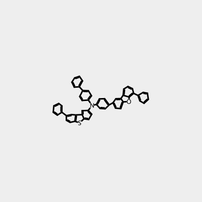 c1ccc(-c2ccc(N(c3ccc(-c4ccc5oc6c(-c7ccccc7)cccc6c5c4)cc3)c3ccc4sc5ccc(-c6ccccc6)cc5c4c3)cc2)cc1